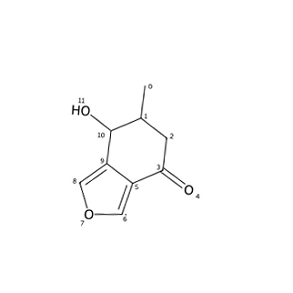 CC1CC(=O)c2[c]occ2C1O